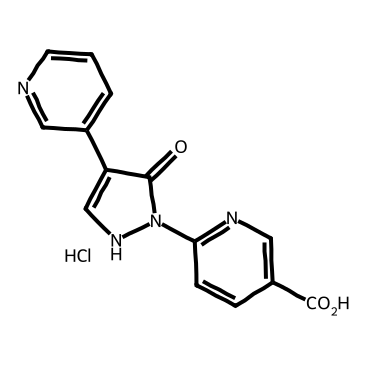 Cl.O=C(O)c1ccc(-n2[nH]cc(-c3cccnc3)c2=O)nc1